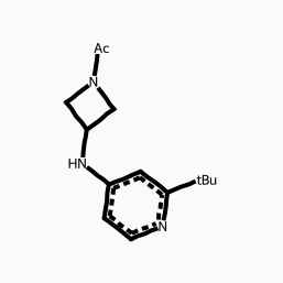 CC(=O)N1CC(Nc2ccnc(C(C)(C)C)c2)C1